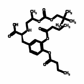 CCCC(=O)Oc1ccc(C[C@H](NCC(C)OC(=O)OCC(C)(C)C)C(=O)O)cc1OC(=O)CCC